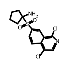 NC1(S(=O)(=O)c2ccc3c(Cl)cnc(Cl)c3c2)CCCC1